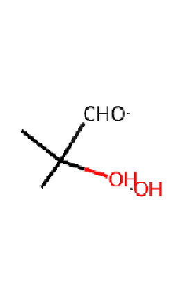 CC(C)(O)[C]=O.[OH]